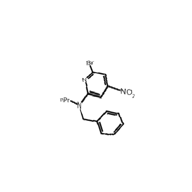 CCCN(Cc1ccccc1)c1cc([N+](=O)[O-])cc(Br)n1